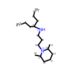 CC(C)CCC(CCC(C)C)NCCCN1C(C)CCCC1C